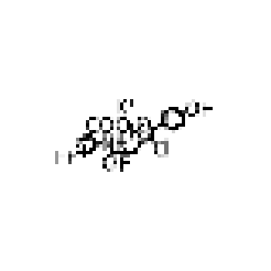 CCn1cc(NC(=O)C(F)(F)Cc2noc(-c3ccc(O)cc3)c2Cl)c(C(=O)[O-])c1.[K+]